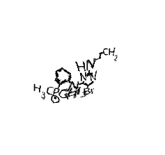 C=CCNc1ncc(Br)c(Nc2ccccc2P(C)(C)=O)n1